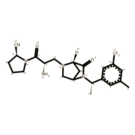 Cc1cc([C@H](C)N2C(=O)[C@@H]3CC2CN3C[C@H](N)C(=O)N2CCC[C@H]2C#N)cc(C(F)(F)F)c1